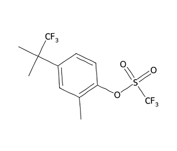 Cc1cc(C(C)(C)C(F)(F)F)ccc1OS(=O)(=O)C(F)(F)F